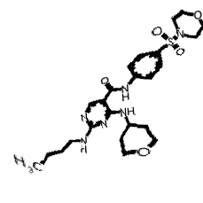 CCCCNc1ncc(C(=O)Nc2ccc(S(=O)(=O)N3CCOCC3)cc2)c(NC2CCOCC2)n1